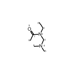 CCN(CN(C)C)C(C)=O